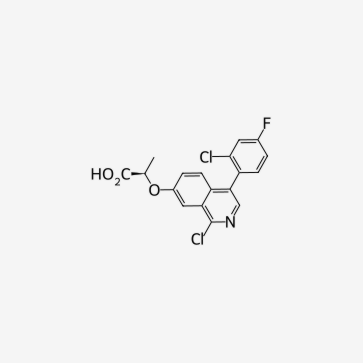 C[C@@H](Oc1ccc2c(-c3ccc(F)cc3Cl)cnc(Cl)c2c1)C(=O)O